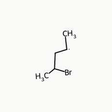 C[CH]CC(C)Br